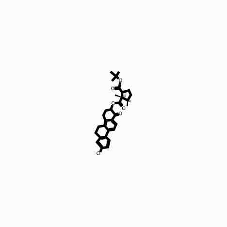 C[C@@H]1CCC(C(=O)OC(C)(C)C)[C@@]1(C)C(=O)OC1CCc2c(ccc3c2CCc2cc(Cl)ccc2-3)C1=O